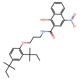 CCC(C)(C)c1ccc(OCCCNC(=O)c2cc([N+](=O)[O-])c3ccccc3c2O)c(C(C)(C)CC)c1